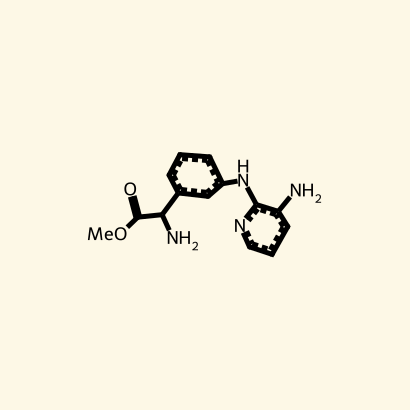 COC(=O)C(N)c1cccc(Nc2ncccc2N)c1